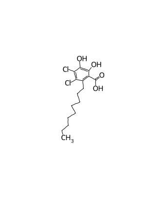 CCCCCCCCCc1c(Cl)c(Cl)c(O)c(O)c1C(=O)O